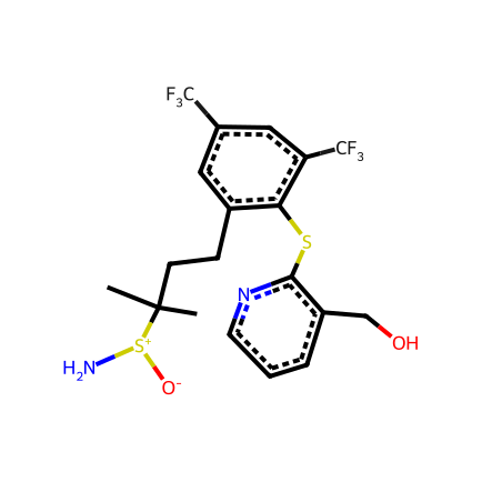 CC(C)(CCc1cc(C(F)(F)F)cc(C(F)(F)F)c1Sc1ncccc1CO)[S+](N)[O-]